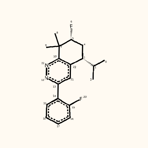 CC(C)[C@H]1C[C@@H](F)C(C)(C)c2nnc(-c3ccccc3F)cc21